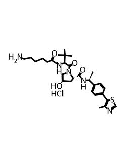 Cc1ncsc1-c1ccc([C@H](C)NC(=O)[C@@H]2C[C@@H](O)CN2C(=O)C(NC(=O)CCCCCN)C(C)(C)C)cc1.Cl